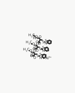 CCONC(=O)C(CSc1nc2ccccc2s1)C(=O)[O-].CCONC(=O)C(CSc1nc2ccccc2s1)C(=O)[O-].CCONC(=O)C(CSc1nc2ccccc2s1)C(=O)[O-].[Al+3]